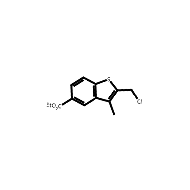 CCOC(=O)c1ccc2sc(CCl)c(C)c2c1